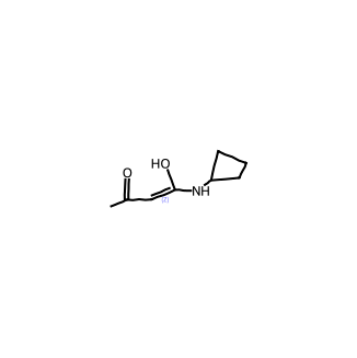 CC(=O)/C=C(\O)NC1CCC1